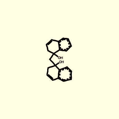 OC1(CC2(O)CC=Cc3ccccc32)CC=Cc2ccccc21